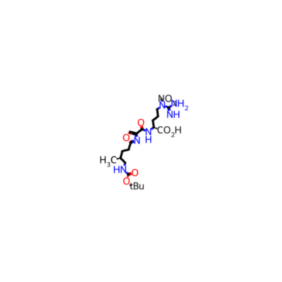 C[C@@H](CCc1nc(C(=O)N[C@@H](CCCN(C(=N)N)[N+](=O)[O-])C(=O)O)co1)CNC(=O)OC(C)(C)C